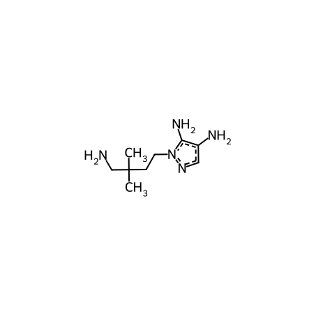 CC(C)(CN)CCn1ncc(N)c1N